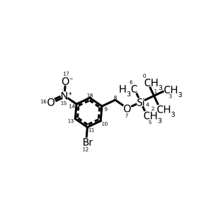 CC(C)(C)[Si](C)(C)OCc1cc(Br)cc([N+](=O)[O-])c1